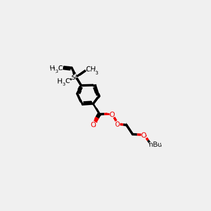 C=C[Si](C)(C)c1ccc(C(=O)OO[CH]COCCCC)cc1